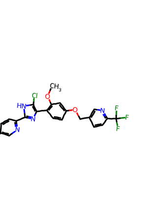 COc1cc(OCc2ccc(C(F)(F)F)nc2)ccc1-c1nc(-c2ccc(Cl)cn2)[nH]c1Cl